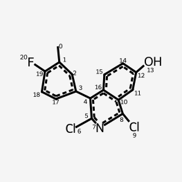 Cc1cc(-c2c(Cl)nc(Cl)c3cc(O)ccc23)ccc1F